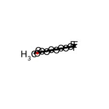 CCOC(=O)COCCOCCOCCOCCOCCOCCOCC(F)(F)F